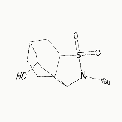 CC(C)(C)N1C2C(O)C3CCC2C(C3)S1(=O)=O